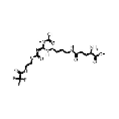 NC(CCC(=O)NCCCCN/C(=N\C(=O)OCCOC(=O)C(F)(F)F)NC(=O)O)C(=O)O